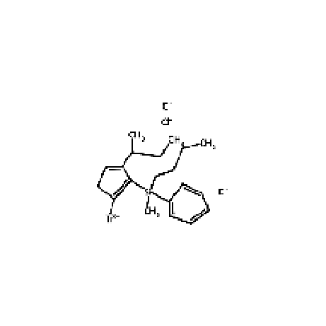 CCCC[Si](C)(C1=[C]([Ti+3])CC=C1C(C)CC)c1ccccc1.[Cl-].[Cl-].[Cl-]